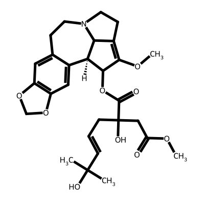 COC(=O)CC(O)(C/C=C/C(C)(C)O)C(=O)OC1C(OC)=C2CCN3CCc4cc5c(cc4[C@H]1C23)OCO5